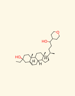 CC[C@]1(O)CC[C@@]2(C)C(=CC[C@H]3[C@@H]4CC[C@H]([C@H](C)CCC(O)C5CCOCC5)[C@@]4(C)CC[C@@H]32)C1